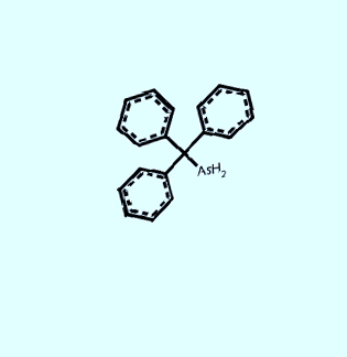 [AsH2]C(c1ccccc1)(c1ccccc1)c1ccccc1